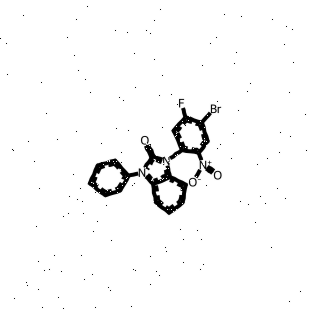 O=c1n(-c2ccccc2)c2ccccc2n1-c1cc(F)c(Br)cc1[N+](=O)[O-]